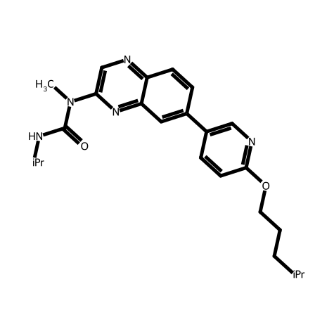 CC(C)CCCOc1ccc(-c2ccc3ncc(N(C)C(=O)NC(C)C)nc3c2)cn1